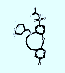 CC(=O)NS(=O)(=O)c1ccc2c(c1)N(CC1C[C@@H](C)O[C@@H](C)C1)CCCCc1cc(Cl)ccc1CO2